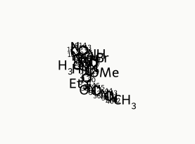 CCc1cc(Nc2ncc(Br)c(Nc3ccc4nccnc4c3NS(C)(=O)=O)n2)c(OC)cc1C(=O)N1CCC(N2CCN(C)CC2)CC1